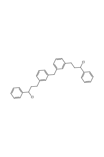 ClC(CCc1cccc(Cc2cccc(CCC(Cl)c3ccccc3)c2)c1)c1ccccc1